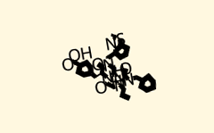 C=CCN1CC(=O)N2[C@@H](Cc3ccc(C(=O)O)cc3)C(=O)N(Cc3cccc4scnc34)C[C@@H]2N1C(=O)NCc1ccccc1